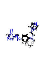 CCN(CC[N+]12CCN(CC1)CC2)c1ccc(N=Nc2nnc[nH]2)cc1